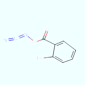 [N-]=[N+]=NOC(=O)c1ccccc1O